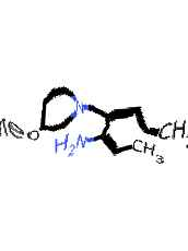 C=C/C=C(CN1CCC(OC)C1)\C(N)=C/C